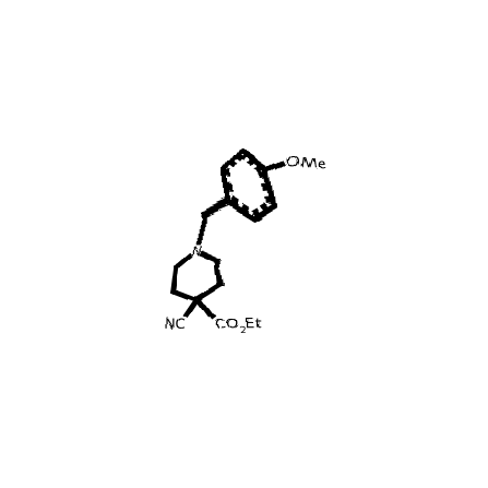 CCOC(=O)C1(C#N)CCN(Cc2ccc(OC)cc2)CC1